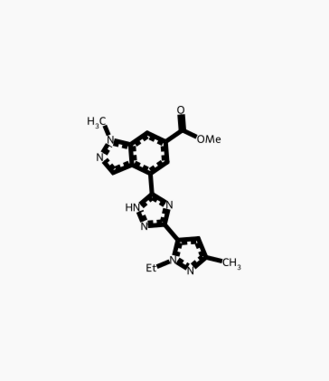 CCn1nc(C)cc1-c1n[nH]c(-c2cc(C(=O)OC)cc3c2cnn3C)n1